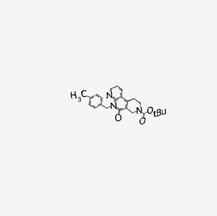 Cc1ccc(Cn2c(=O)c3c(c4cccnc42)CCN(C(=O)OC(C)(C)C)C3)cc1